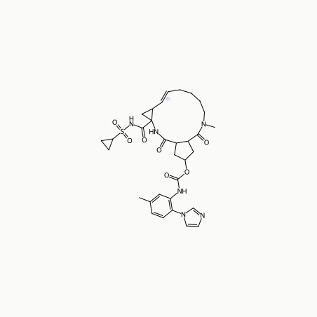 Cc1ccc(-n2ccnc2)c(NC(=O)OC2CC3C(=O)NC4(C(=O)NS(=O)(=O)C5CC5)CC4/C=C/CCCCN(C)C(=O)C3C2)c1